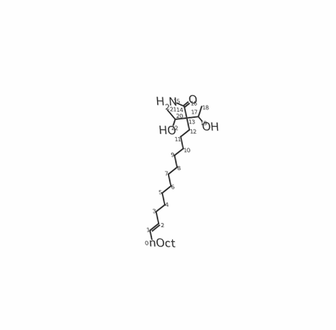 CCCCCCCCC=CCCCCCCCCCCC(C(N)=O)(C(C)O)C(C)O